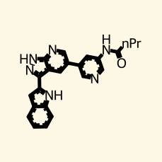 CCCC(=O)Nc1cncc(-c2cnc3[nH]nc(-c4cc5ccccc5[nH]4)c3c2)c1